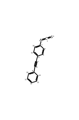 S=C=Nc1ccc(C#Cc2ccccc2)cc1